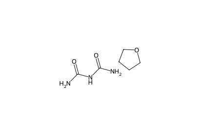 C1CCOC1.NC(=O)NC(N)=O